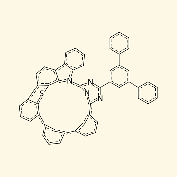 c1ccc(-c2cc(-c3ccccc3)cc(-c3nc4nc(n3)n3c5ccccc5c5ccc6c7cccc(c8cccc(c8)c8cccc4c8)c7sc6c53)c2)cc1